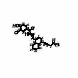 CCNCC#Cc1ccc(/C=N/NC(=O)c2ccc(O)c(Cl)c2)c2ccccc12